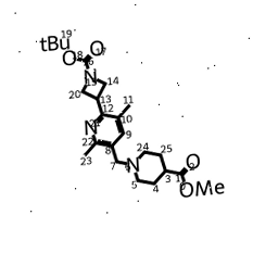 COC(=O)C1CCN(Cc2cc(C)c(C3CN(C(=O)OC(C)(C)C)C3)nc2C)CC1